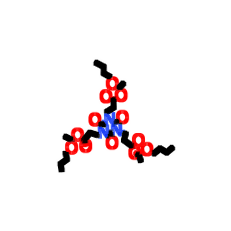 CCCCOC(C)OC(=O)CCn1c(=O)n(CCC(=O)OC(C)OCCCC)c(=O)n(CCC(=O)OC(C)OCCCC)c1=O